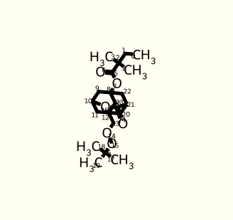 CCC(C)(C)C(=O)OC12CC3CC(COOC(C)(C)C)(CC(C1)C(=O)O3)C2